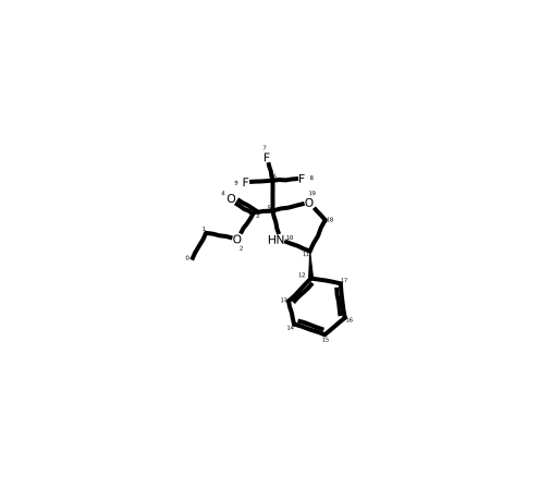 CCOC(=O)C1(C(F)(F)F)N[C@H](c2ccccc2)CO1